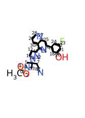 CS(=O)(=O)N1CC(CC#N)(n2ccc(-c3nc(-c4cc(O)cc(F)c4)cc4ncccc34)n2)C1